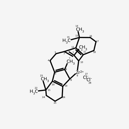 CC1=C2CCC3=C(C)[CH]([Zr+2][CH]1C1=C2C(C)(C)CCC1)C1=C3C(C)(C)CCC1.[Cl-].[Cl-]